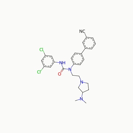 CN(C)C1CCN(CCN(C(=O)Nc2cc(Cl)cc(Cl)c2)c2ccc(-c3cccc(C#N)c3)cc2)C1